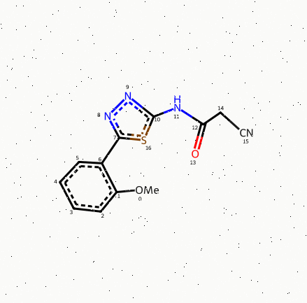 COc1ccccc1-c1nnc(NC(=O)CC#N)s1